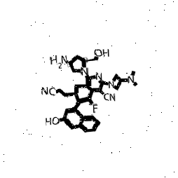 CN(C)C1CN(c2nc(N3C[C@@H](N)C[C@H]3CO)c3cc(CCC#N)c(-c4cc(O)cc5ccccc45)c(F)c3c2C#N)C1